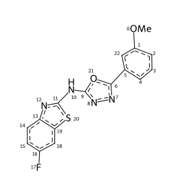 COc1cccc(-c2nnc(Nc3nc4ccc(F)cc4s3)o2)c1